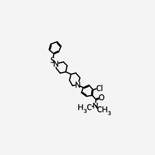 CN(C)C(=O)c1ccc(N2CCC(C3CCN(Sc4ccccc4)CC3)CC2)cc1Cl